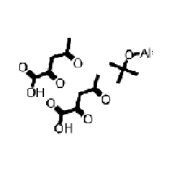 CC(=O)CC(=O)C(=O)O.CC(=O)CC(=O)C(=O)O.CC(C)(C)[O][Al]